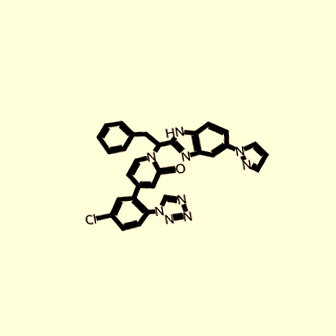 O=c1cc(-c2cc(Cl)ccc2-n2cnnn2)ccn1C(Cc1ccccc1)c1nc2cc(-n3cccn3)ccc2[nH]1